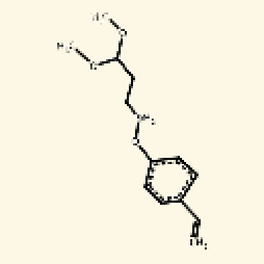 C=Cc1ccc(O[SiH2]CCC(OC)OC)cc1